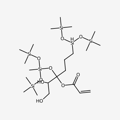 C=CC(=O)OC(CCC[SiH](O[Si](C)(C)C)O[Si](C)(C)C)(O[Si](C)(O[Si](C)(C)C)O[Si](C)(C)C)C(O)CO